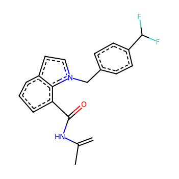 C=C(C)NC(=O)c1cccc2ccn(Cc3ccc(C(F)F)cc3)c12